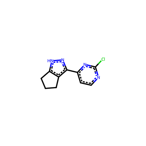 Clc1nccc(-c2n[nH]c3c2CCC3)n1